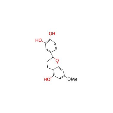 COc1cc(O)c2c(c1)OC(c1ccc(O)c(O)c1)CC2